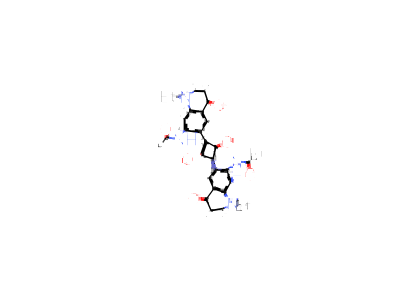 CCC(=O)Nc1cc2c(cc1C1=C([O-])/C(=c3\cc4c(cc3NC(=O)CC)=[N+](CC)CCC4=O)C1=O)C(=O)CCN2CC